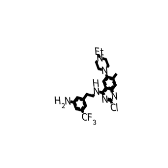 CCN1CCN(c2cc3c(NCCc4cc(N)cc(C(F)(F)F)c4)nc(Cl)nc3cc2C)CC1